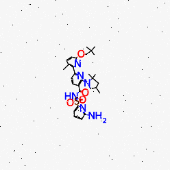 Cc1ccc(OCC(C)(C)C)nc1-c1ccc(C(=O)NS(=O)(=O)c2cccc(N)n2)c(N2CC(C)CC2(C)C)n1